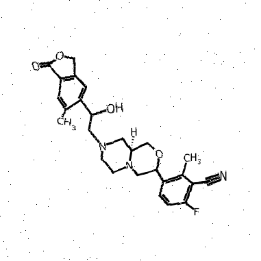 Cc1cc2c(cc1C(O)CN1CCN3CC(c4ccc(F)c(C#N)c4C)OC[C@@H]3C1)COC2=O